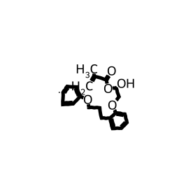 C=C(C)C(=O)OC(O)COc1ccccc1CCCOc1cc[c]cc1